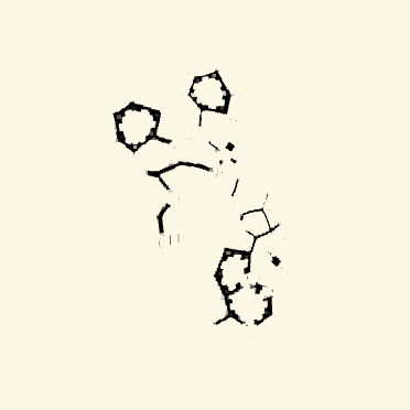 CCOC(=O)[C@H](Cc1ccccc1)NP(=O)(OC[C@H]1O[C@@](C#N)(c2ccc3c(C)ncnn23)[C@](C)(F)[C@@H]1O)Oc1ccccc1